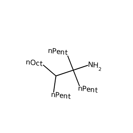 CCCCCCCCC(CCCCC)C(N)(CCCCC)CCCCC